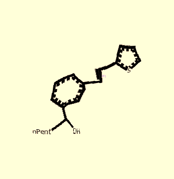 CCCCCC(O)c1cccc(/C=C/c2cccs2)c1